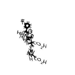 O=C(O)Cc1nc(SCC2=C(C(=O)O)N3C(=O)C(NC(=O)C(O)c4cccc(F)c4)[C@@H]3SC2)n[nH]1